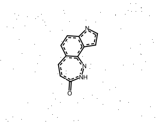 O=c1ccc2ccc3nccc3c2n[nH]1